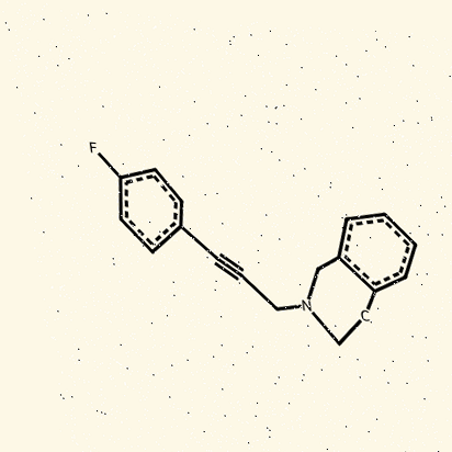 Fc1ccc(C#CCN2CCc3ccccc3C2)cc1